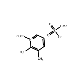 CCCCCCCC[n+]1cccc(C)c1C.COS(=O)(=O)[O-]